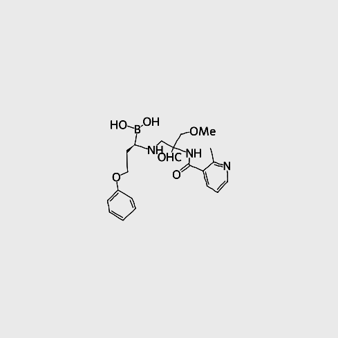 COCC(C=O)(CN[C@@H](CCOc1ccccc1)B(O)O)NC(=O)c1cccnc1C